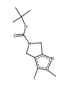 Cn1nc2c(c1I)CN(C(=O)OC(C)(C)C)C2